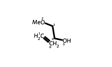 C=C.COCCO